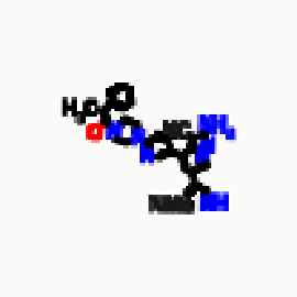 CN/C=C(\C=N)c1cc(-c2ccc(N3CCN(C(=O)[C@H](C)c4ccccc4)CC3)nc2)c2c(C#N)c(N)nn2c1